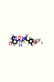 Cc1cc(-c2sc(NC(=O)C3CCC(=O)c4cccn43)nc2C)ccc1OC(F)(F)F